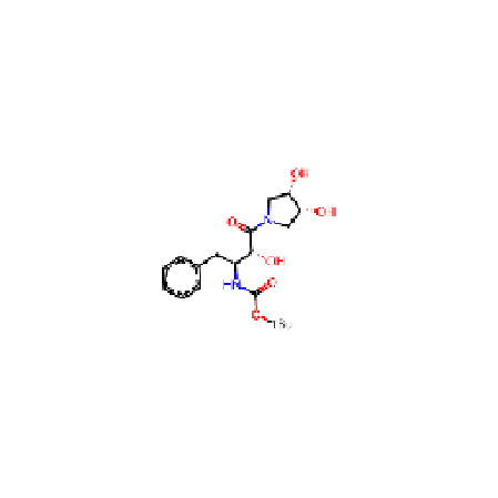 CC(C)(C)OC(=O)N[C@@H](Cc1ccccc1)[C@@H](O)C(=O)N1C[C@@H](O)[C@@H](O)C1